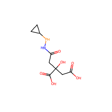 O=C(O)CC(O)(CC(=O)NPC1CC1)C(=O)O